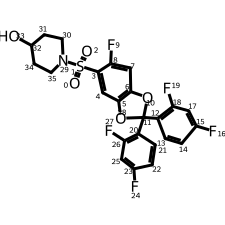 O=S(=O)(c1cc2c(cc1F)OC(c1ccc(F)cc1F)(c1ccc(F)cc1F)O2)N1CCC(O)CC1